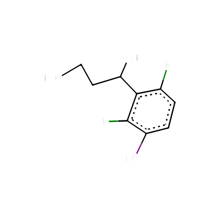 CCCC(C)c1c(F)ccc(P)c1F